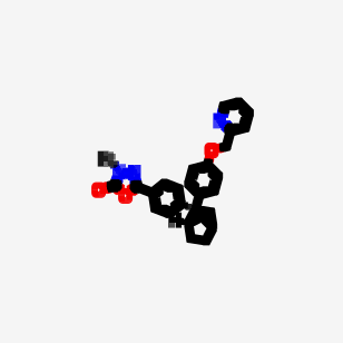 CCn1nc(-c2ccc([C@]3(c4ccc(OCc5ccccn5)cc4)CC4CC[C@@H]3C4)cc2)oc1=O